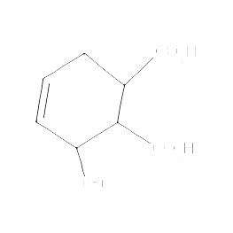 CCCC1C=CCC(C(=O)O)C1C(=O)O